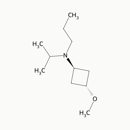 CCCN(C(C)C)[C@H]1C[C@H](OC)C1